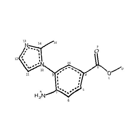 COC(=O)c1ccc(N)c(-n2ccnc2C)c1